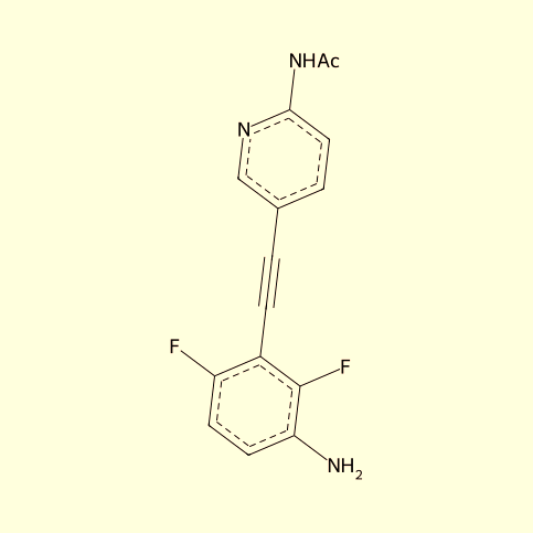 CC(=O)Nc1ccc(C#Cc2c(F)ccc(N)c2F)cn1